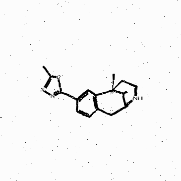 Cc1nnc(-c2ccc3c(c2)[C@]2(C)CCNC(C3)C2C)o1